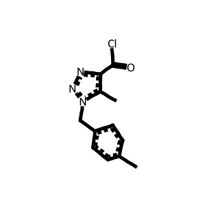 Cc1ccc(Cn2nnc(C(=O)Cl)c2C)cc1